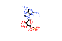 CO[C@@H]1C(O)[C@@H](OCP(=O)(O)O)O[C@H]1n1cnc2c(N)nc(N)nc21